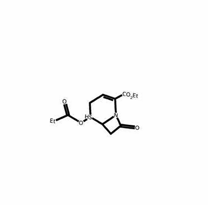 CCOC(=O)C1=CC[SH](OC(=O)CC)C2CC(=O)N12